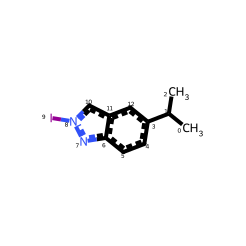 CC(C)c1ccc2nn(I)cc2c1